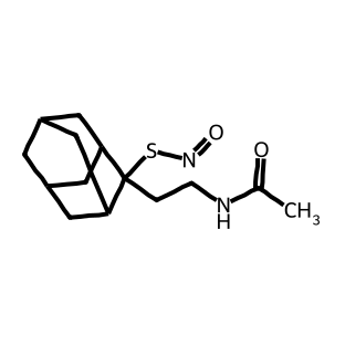 CC(=O)NCCC1(SN=O)C2CC3CC(C2)CC1C3